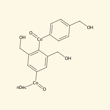 CCCCCCCCC[CH2][Co](=[O])[c]1cc(CO)[c]([Co](=[O])[c]2ccc(CO)cc2)c(CO)c1